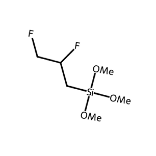 CO[Si](CC(F)CF)(OC)OC